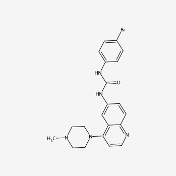 CN1CCN(c2ccnc3ccc(NC(=O)Nc4ccc(Br)cc4)cc23)CC1